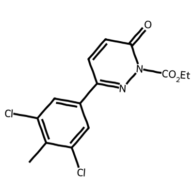 CCOC(=O)n1nc(-c2cc(Cl)c(C)c(Cl)c2)ccc1=O